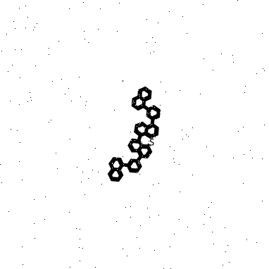 c1cc(-c2cccc3ccccc23)cc(-c2ccc3sc4ccc(-c5cccc(-c6cccc7ccccc67)c5)c5cccc(c6cccc2c36)c45)c1